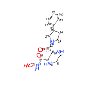 O=C(NO)C1NCCNC1C(=O)N1CCC(c2ccccc2)C1